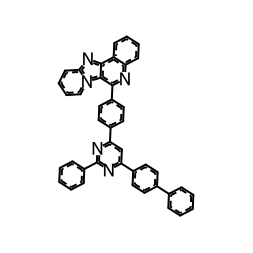 c1ccc(-c2ccc(-c3cc(-c4ccc(-c5nc6ccccc6c6nc7ccccn7c56)cc4)nc(-c4ccccc4)n3)cc2)cc1